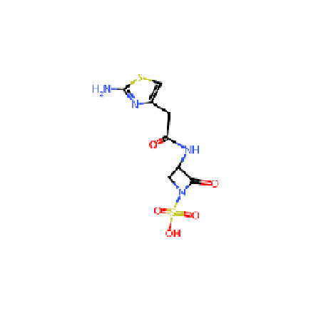 Nc1nc(CC(=O)NC2CN(S(=O)(=O)O)C2=O)cs1